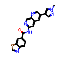 Cn1cc(-c2cnc3cnc(NC(=O)c4ccc5ncsc5c4)cc3c2)cn1